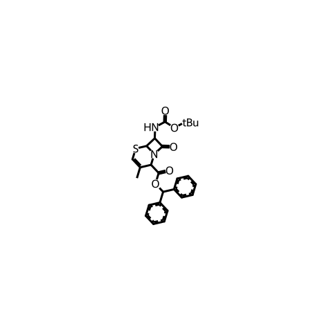 CC1=CSC2C(NC(=O)OC(C)(C)C)C(=O)N2C1C(=O)OC(c1ccccc1)c1ccccc1